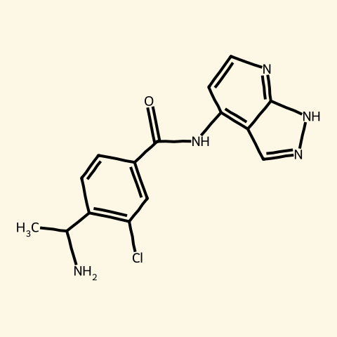 CC(N)c1ccc(C(=O)Nc2ccnc3[nH]ncc23)cc1Cl